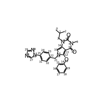 CC(C)Cn1c(=O)n(C)c(=O)c2c(Oc3ccccc3)n(Cc3ccc(-n4cncn4)cc3)cc21